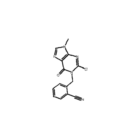 Cn1cnc2c(=O)n(Cc3ccccc3C#N)c(Cl)nc21